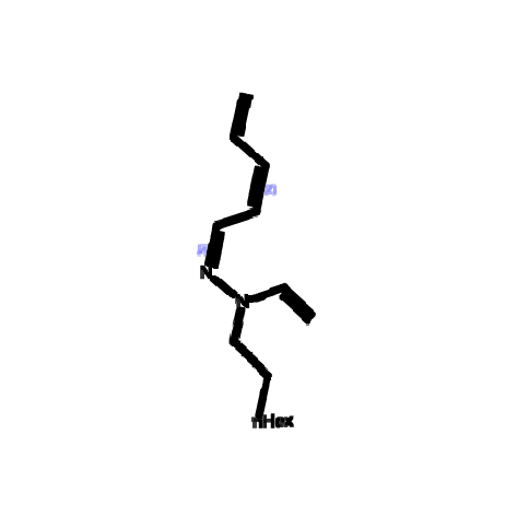 C=C/C=C\C=N/N(C=C)CCCCCCCC